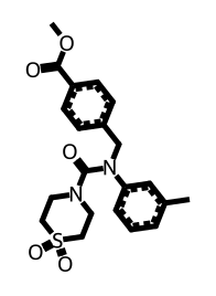 COC(=O)c1ccc(CN(C(=O)N2CCS(=O)(=O)CC2)c2cccc(C)c2)cc1